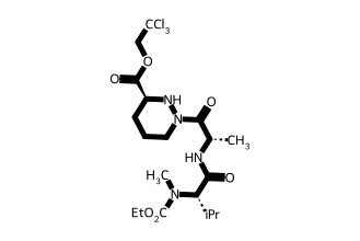 CCOC(=O)N(C)[C@H](C(=O)N[C@@H](C)C(=O)N1CCC[C@@H](C(=O)OCC(Cl)(Cl)Cl)N1)C(C)C